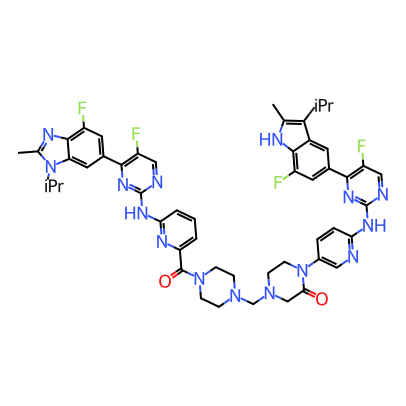 Cc1[nH]c2c(F)cc(-c3nc(Nc4ccc(N5CCN(CN6CCN(C(=O)c7cccc(Nc8ncc(F)c(-c9cc(F)c%10nc(C)n(C(C)C)c%10c9)n8)n7)CC6)CC5=O)cn4)ncc3F)cc2c1C(C)C